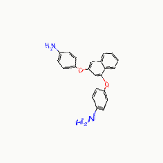 Nc1ccc(Oc2cc(Oc3ccc(N)cc3)c3ccccc3c2)cc1